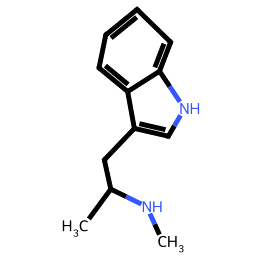 CNC(C)Cc1c[nH]c2ccccc12